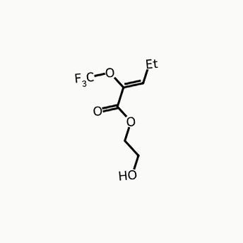 CCC=C(OC(F)(F)F)C(=O)OCCO